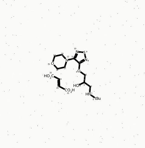 CC(C)(C)NCC(O)COc1nsnc1N1CCOCC1.O=C(O)C=CC(=O)O